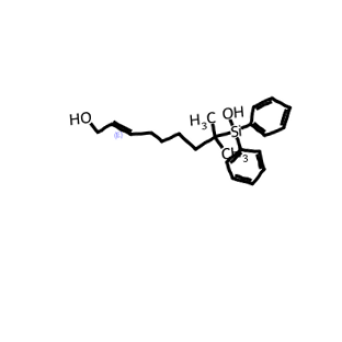 CC(C)(CCCC/C=C/CO)[Si](O)(c1ccccc1)c1ccccc1